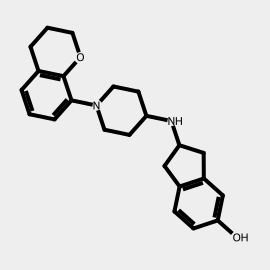 Oc1ccc2c(c1)CC(NC1CCN(c3cccc4c3OCCC4)CC1)C2